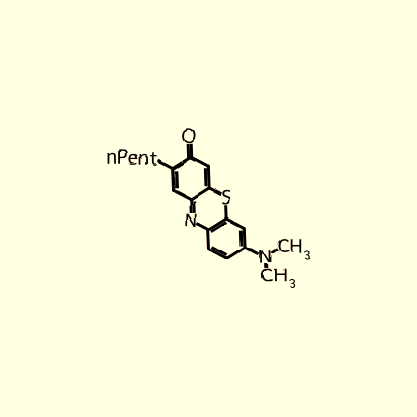 CCCCCc1cc2nc3ccc(N(C)C)cc3sc-2cc1=O